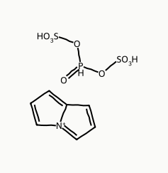 C1=CC2=CC=C[N+]2=C1.O=[PH](OS(=O)(=O)O)OS(=O)(=O)O